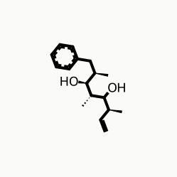 C=C[C@H](C)C(O)[C@H](C)[C@@H](O)[C@H](C)Cc1ccccc1